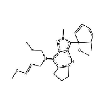 CCCN(C/C=N/OC)c1c2c(nc3c(C4(OC)C=CC=CC4C)c(C)nn13)CCC2